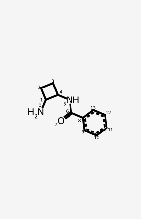 NC1CCC1NC(=O)c1ccccc1